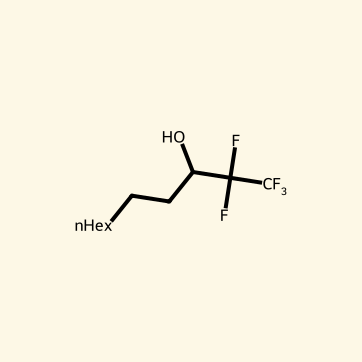 CCCCCCCCC(O)C(F)(F)C(F)(F)F